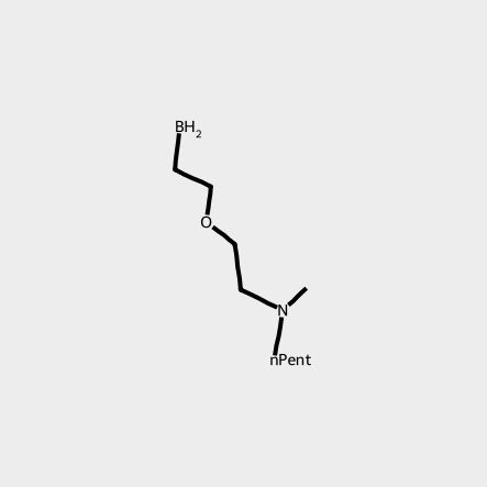 BCCOCCN(C)CCCCC